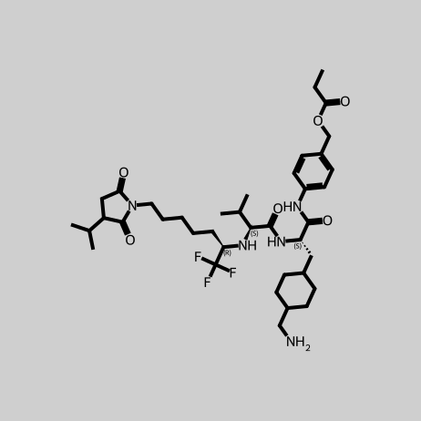 CCC(=O)OCc1ccc(NC(=O)[C@H](CC2CCC(CN)CC2)NC(=O)[C@@H](N[C@H](CCCCCN2C(=O)CC(C(C)C)C2=O)C(F)(F)F)C(C)C)cc1